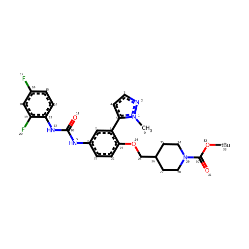 Cn1nccc1-c1cc(NC(=O)Nc2ccc(F)cc2F)ccc1OCC1CCN(C(=O)OC(C)(C)C)CC1